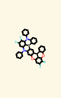 Fc1cc2c3c(c1F)Oc1ccccc1C3c1cc3c(cc1O2)N(c1ccccc1)c1cc(F)c(F)c2c1B3c1ccccc1N2c1ccccc1